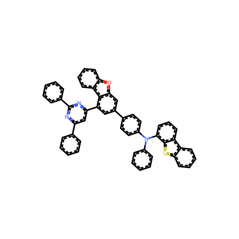 c1ccc(-c2cc(-c3cc(-c4ccc(N(c5ccccc5)c5cccc6c5sc5ccccc56)cc4)cc4oc5ccccc5c34)nc(-c3ccccc3)n2)cc1